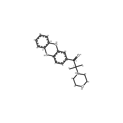 CC(C)(C(=O)c1ccc2c(c1)Oc1ccccc1S2)N1CCOCC1